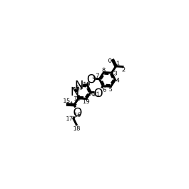 C=C(C)c1ccc2c(c1)Oc1nnc(C(=C)OCC)cc1O2